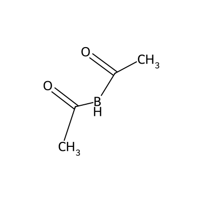 CC(=O)BC(C)=O